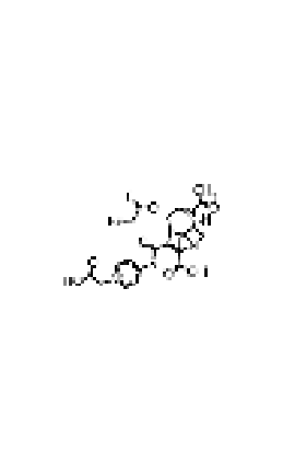 CC(=O)N1CCC2C(C(=O)Sc3cc[n+](CC(=O)O)cc3)=C(C(=O)O)N3C[C@H]1[C@@H]23.O=C([O-])CBr